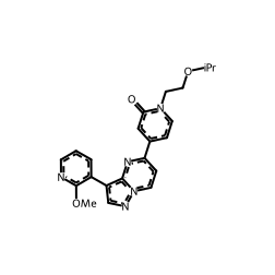 COc1ncccc1-c1cnn2ccc(-c3ccn(CCOC(C)C)c(=O)c3)nc12